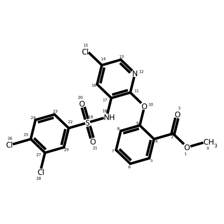 COC(=O)c1ccccc1Oc1ncc(Cl)cc1NS(=O)(=O)c1ccc(Cl)c(Cl)c1